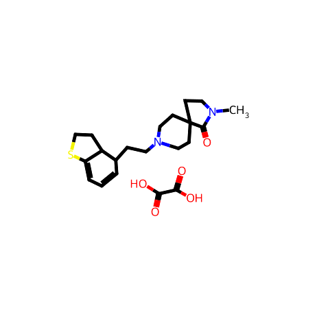 CN1CCC2(CCN(CCC3C=CC=C4SCCC43)CC2)C1=O.O=C(O)C(=O)O